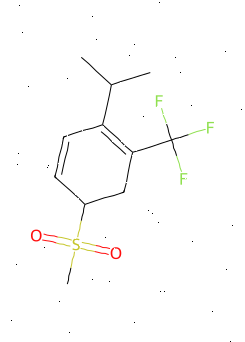 CC(C)C1=C(C(F)(F)F)CC(S(C)(=O)=O)C=C1